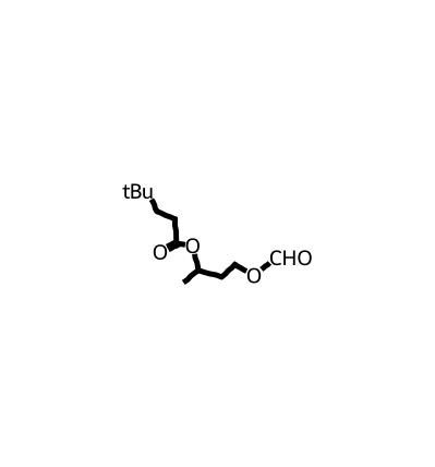 CC(CCOC=O)OC(=O)CCC(C)(C)C